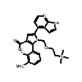 COc1cccc(-c2c(C(N)=O)cc(-c3ccnc4[nH]ccc34)n2COCC[Si](C)(C)C)c1F